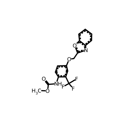 COC(=O)Nc1ccc(OCc2nc3ccccc3o2)cc1C(F)(F)F